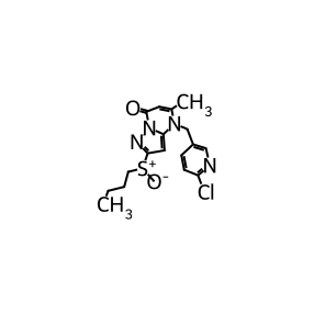 CCCC[S+]([O-])c1cc2n(Cc3ccc(Cl)nc3)c(C)cc(=O)n2n1